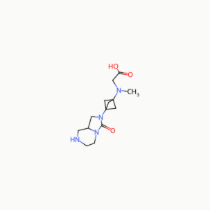 CN(CC(=O)O)C12CC(N3CC4CNCCN4C3=O)(C1)C2